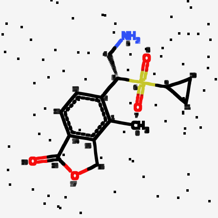 Cc1c([C@H](CN)S(=O)(=O)C2CC2)ccc2c1COC2=O